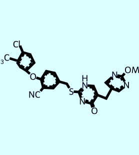 COc1ncc(Cc2c[nH]c(SCc3ccc(Oc4ccc(Cl)c(C)c4)c(C#N)c3)nc2=O)cn1